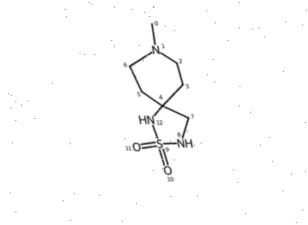 CN1CCC2(CC1)CNS(=O)(=O)N2